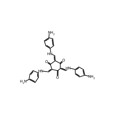 Nc1ccc(NC=C2C(=O)C(=CNc3ccc(N)cc3)C(=O)C(=CNc3ccc(N)cc3)C2=O)cc1